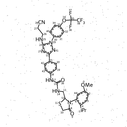 COc1ccc(C(C)C)c(N2C(=O)CSC2CNC(=O)Nc2ccc(-c3nc(NCCC#N)n(-c4ccc(OC(F)(F)C(F)(F)F)cc4)n3)cc2)c1